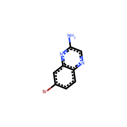 Nc1cnc2ccc(Br)cc2n1